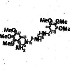 COc1cc(CNCCNCCN(CCN)Cc2cc(OC)c(OC)c(OC)c2)cc(OC)c1OC